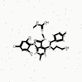 CNC(=O)O.CSc1nn(-c2c(Cl)cc(Cl)cc2Cl)c2nc(C)nc(N(CCCO)Cc3ccc(C)cc3)c12